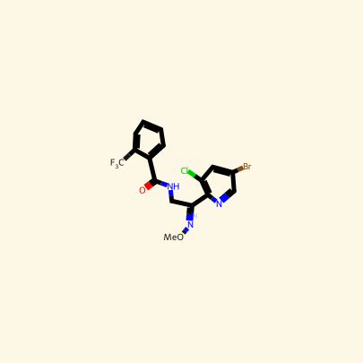 CO/N=C(\CNC(=O)c1ccccc1C(F)(F)F)c1ncc(Br)cc1Cl